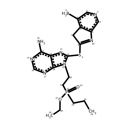 Bc1cncc2c1CC(Sc1nc3c(N)ncnc3n1CCP(=O)(CCC)OCC)=N2